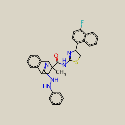 CC1(C(=O)NC2=NC(c3ccc(F)c4ccccc34)CS2)CC2C(NNc3ccccc3)=NC1c1ccccc12